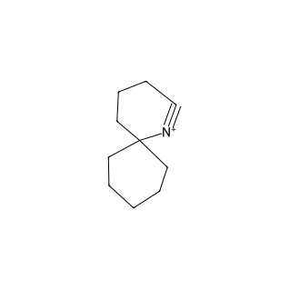 C1#[N+]C2(CCC1)CCCCC2